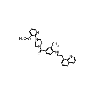 COc1cccnc1N1CCN(C(=O)c2ccc(NCCc3cccc4cccnc34)c(C)c2)CC1